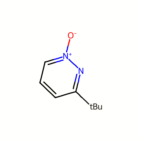 CC(C)(C)c1ccc[n+]([O-])n1